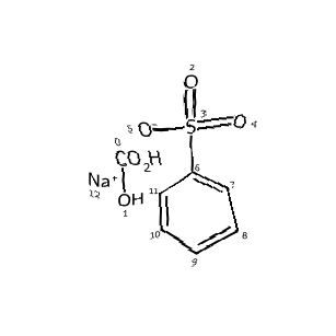 O=C(O)O.O=S(=O)([O-])c1ccccc1.[Na+]